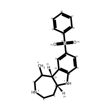 CC1CNCC[C@H]2Nc3ccc(S(=O)(=O)c4ccccc4)cc3[C@@H]12